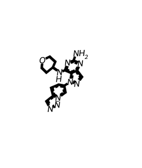 Nc1nc(NC2CCOCC2)c2c(cnn2-c2ccc3cnnn3c2)n1